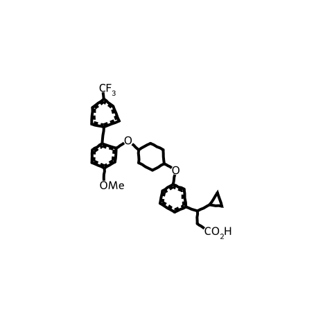 COc1ccc(-c2ccc(C(F)(F)F)cc2)c(OC2CCC(Oc3cccc(C(CC(=O)O)C4CC4)c3)CC2)c1